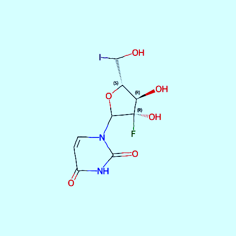 O=c1ccn(C2O[C@H](C(O)I)[C@@H](O)[C@@]2(O)F)c(=O)[nH]1